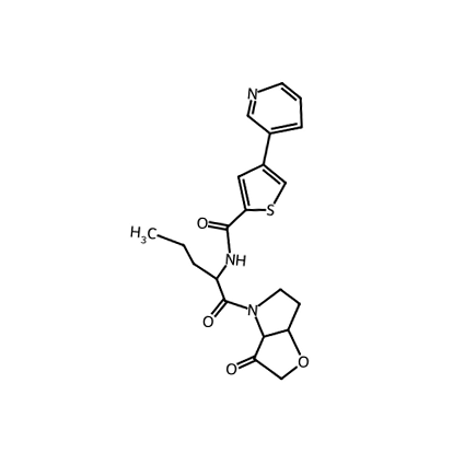 CCCC(NC(=O)c1cc(-c2cccnc2)cs1)C(=O)N1CCC2OCC(=O)C21